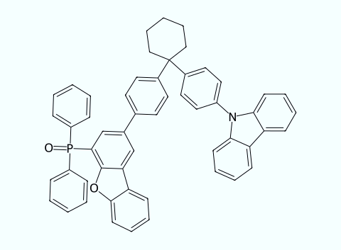 O=P(c1ccccc1)(c1ccccc1)c1cc(-c2ccc(C3(c4ccc(-n5c6ccccc6c6ccccc65)cc4)CCCCC3)cc2)cc2c1oc1ccccc12